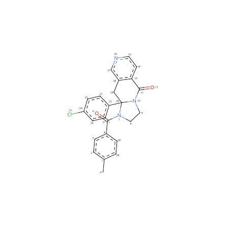 Cc1ccc(C(=O)N2CCN3C(=O)c4ccncc4CC23c2ccc(Cl)cc2)cc1